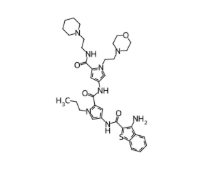 CCCn1cc(NC(=O)c2sc3ccccc3c2N)cc1C(=O)Nc1cc(C(=O)NCCN2CCCCC2)n(CCN2CCOCC2)c1